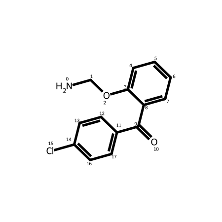 NCOc1ccccc1C(=O)c1ccc(Cl)cc1